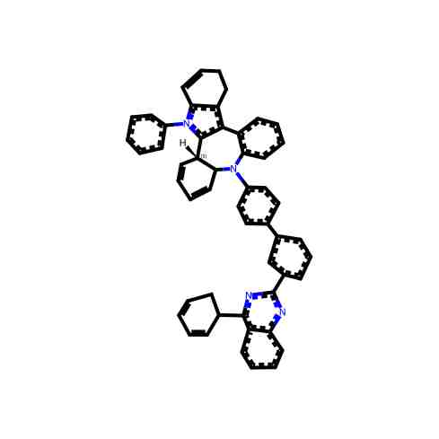 C1=CCC(c2nc(-c3cccc(-c4ccc(N5c6ccccc6-c6c7c(n(-c8ccccc8)c6[C@H]6C=CC=CC65)C=CCC7)cc4)c3)nc3ccccc23)C=C1